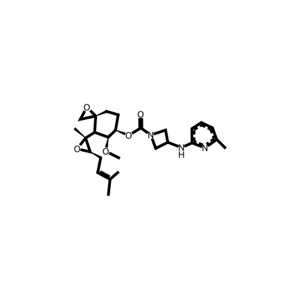 CO[C@H]1C([C@@]2(C)O[C@@H]2CC=C(C)C)[C@]2(CC[C@H]1OC(=O)N1CC(Nc3cccc(C)n3)C1)CO2